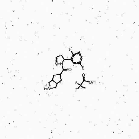 O=C(C1CC2CNCC2C1)N1N=CCC1c1cc(F)ccc1F.O=C(O)C(F)(F)F